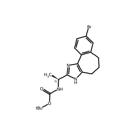 C[C@H](NC(=O)OC(C)(C)C)c1nc2c([nH]1)CCCc1cc(Br)ccc1-2